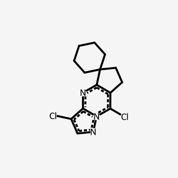 Clc1cnn2c(Cl)c3c(nc12)C1(CCCCC1)CC3